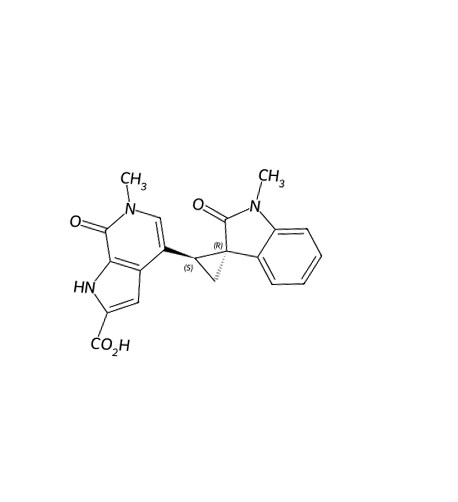 CN1C(=O)[C@@]2(C[C@H]2c2cn(C)c(=O)c3[nH]c(C(=O)O)cc23)c2ccccc21